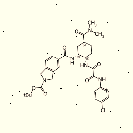 CN(C)C(=O)[C@H]1CC[C@H](NC(=O)C(=O)Nc2ccc(Cl)cn2)[C@H](NC(=O)c2ccc3c(c2)CN(C(=O)OC(C)(C)C)C3)C1